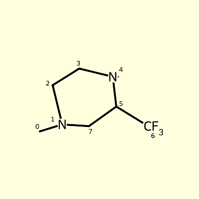 CN1CC[N]C(C(F)(F)F)C1